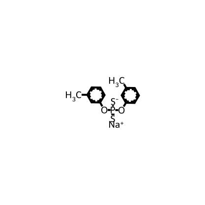 Cc1cccc(OP(=S)([S-])Oc2cccc(C)c2)c1.[Na+]